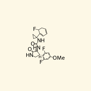 COc1cc(F)c([C@@H]2CNC(=O)[C@H]2NC(=O)NC2(C3=CC=CCC3F)CC2)c(F)c1